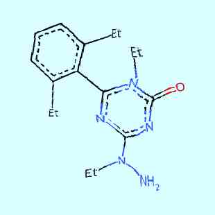 CCc1cccc(CC)c1-c1nc(N(N)CC)nc(=O)n1CC